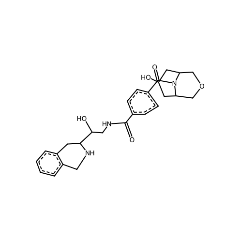 O=C(NCC(O)C1Cc2ccccc2CN1)c1ccc(C(=O)N2C3COCC2CC(O)C3)cc1